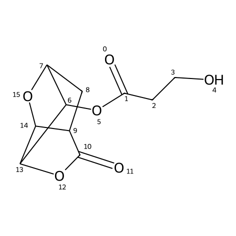 O=C(CCO)OC1C2CC3C(=O)OC1C3O2